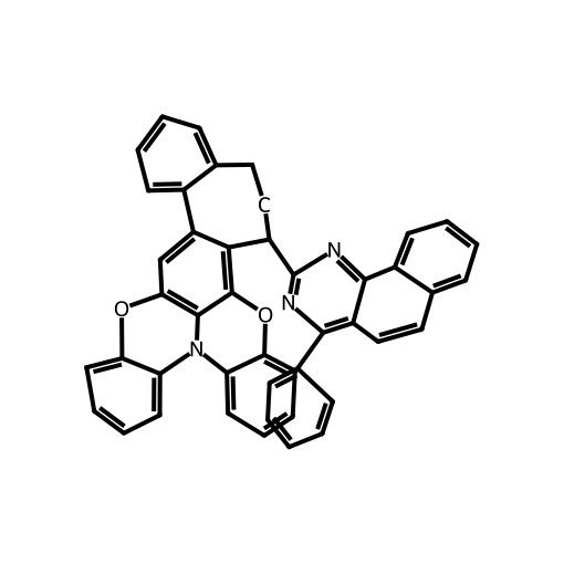 c1ccc(-c2nc(C3CCc4ccccc4-c4cc5c6c(c43)Oc3ccccc3N6c3ccccc3O5)nc3c2ccc2ccccc23)cc1